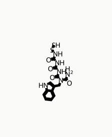 NC(=O)N(Cc1c[nH]c2ccccc12)C(=O)NC(=O)NC(=O)NSS